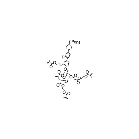 C=C(C)C(=O)OCCCc1cc(-c2ccc(C3CCC(CCCCC)CC3)cc2F)ccc1OCC(COC(=O)CC(=O)OCCOC(=O)C(=C)C)(COC(=O)CC(=O)OCCOC(=O)C(=C)C)COC(=O)C(=C)C